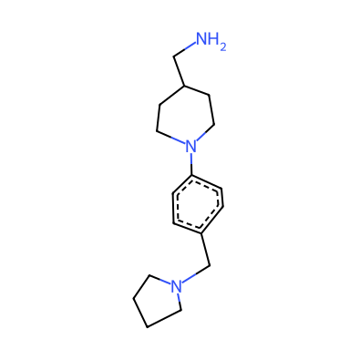 NCC1CCN(c2ccc(CN3CCCC3)cc2)CC1